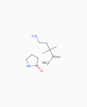 C=C(C(=O)O)C(C)(C)CCN.O=C1CCCN1